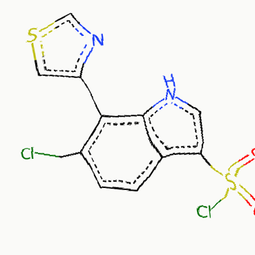 O=S(=O)(Cl)c1c[nH]c2c(-c3cscn3)c(Cl)ccc12